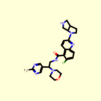 O=C(NCC(c1cnc(C(F)(F)F)nc1)N1CCOCC1)c1c(Cl)ccc2nc(N3CCC4CNCC43)ccc12